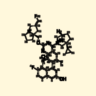 C#Cc1c(F)ccc2cc(O)cc(-c3c(F)cc4c(N5C[C@@H]6CC[C@](C7CC7)(C5)N6)nc(OC[C@@]56CCCN5C/C(=C\F)C6)nc4c3F)c12